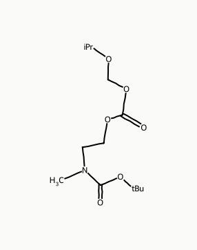 CC(C)OCOC(=O)OCCN(C)C(=O)OC(C)(C)C